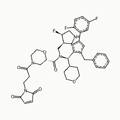 O=C(CCN1C(=O)C=CC1=O)N1CCO[C@H](C(=O)N(C[C@@H]2CNC[C@@H]2F)[C@@H](c2nc(-c3cc(F)ccc3F)cn2Cc2ccccc2)C2CCOCC2)C1